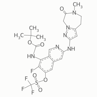 CN1CCc2cc(Nc3cc4cc(OS(=O)(=O)C(F)(F)F)c(F)c(NC(=O)OC(C)(C)C)c4cn3)nn2CC1=O